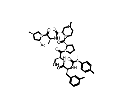 CC(=O)[C@@H]1C[C@@H](C)CN1C(=O)[C@H](C)NC(=O)[C@@H]1CN(C)CCN1C(=O)[C@@H]1CCCN1C(=O)[C@H](CO)NC(=O)[C@H](Cc1cccc(C)c1)NC(=O)Nc1ccc(C)cc1